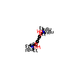 CCCCC(CC)CN(CC(O)COc1ccc(C(C)(C)c2ccc(OCC(O)CN(CC(CC)CCCC)CC(CC)CCCC)cc2)cc1)CC(CC)CCCC